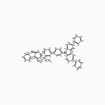 CC1(C)c2cc(-c3ccc(-n4c5ccc(-c6ccccc6)cc5c5cc(-c6ccccc6)ccc54)cc3)ccc2-c2cc3sc4ccccc4c3cc21